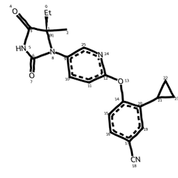 CC[C@]1(C)C(=O)NC(=O)N1c1ccc(Oc2ccc(C#N)cc2C2CC2)nc1